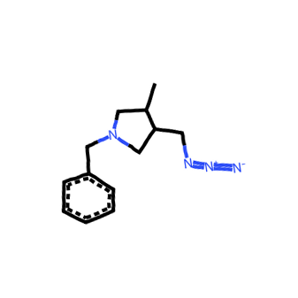 CC1CN(Cc2ccccc2)CC1CN=[N+]=[N-]